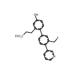 CCOC(=O)CCc1cc(O)ccc1-c1ccc(-c2cccnc2)c(CF)c1